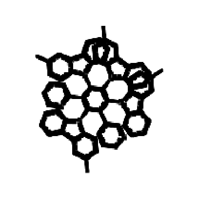 Cc1ccc2c(c1)c1ccccc1n2-c1c(-c2cccnc2)c(-n2c3ccccc3c3cc(C)ccc32)c(-n2c3ccccc3c3cc(C)ccc32)c(-n2c3ccccc3c3cc(C)ccc32)c1-c1ccccn1